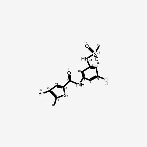 Cc1sc(C(=O)Nc2cc(Cl)cc(NS(C)(=O)=O)c2)cc1Br